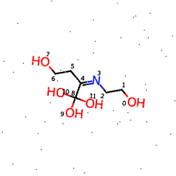 OCCN=C(CCO)C(O)(O)O